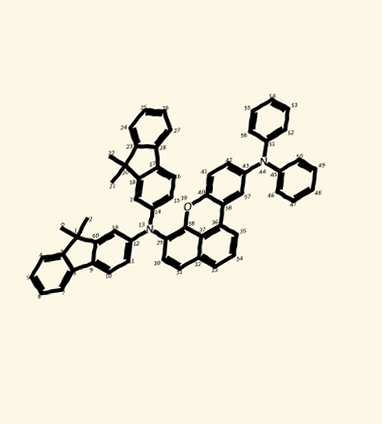 CC1(C)c2ccccc2-c2ccc(N(c3ccc4c(c3)C(C)(C)c3ccccc3-4)c3ccc4cccc5c4c3Oc3ccc(N(c4ccccc4)c4ccccc4)cc3-5)cc21